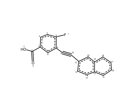 O=C(O)c1ccc(F)c(C#Cc2cnc3ccccc3c2)c1